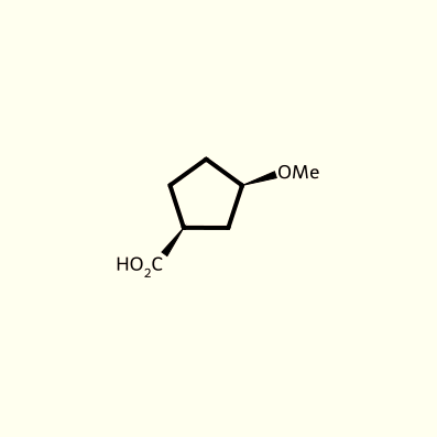 CO[C@@H]1CC[C@H](C(=O)O)C1